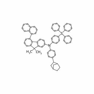 CC1(C)c2cc(N(c3ccc(C4CC5CCC4C5)cc3)c3ccc(S(c4ccccc4)(c4ccccc4)c4ccccc4)cc3)ccc2-c2c(-c3cccc4ccccc34)cccc21